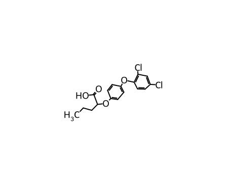 CCCC(Oc1ccc(Oc2ccc(Cl)cc2Cl)cc1)C(=O)O